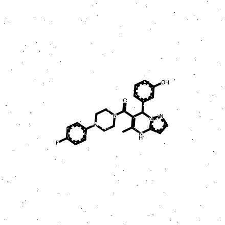 CC1=C(C(=O)N2CCN(c3ccc(F)cc3)CC2)C(c2cccc(O)c2)n2nccc2N1